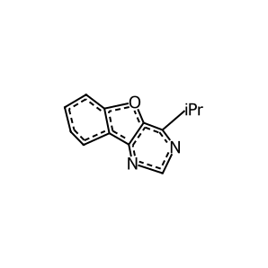 CC(C)c1ncnc2c1oc1ccccc12